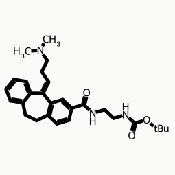 CN(C)CC/C=C1\c2ccccc2CCc2ccc(C(=O)NCCNC(=O)OC(C)(C)C)cc21